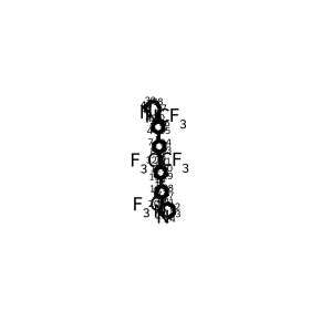 FC(F)(F)C1(c2ccc(-c3ccc(C(c4ccc(-c5ccc(C6(C(F)(F)F)C=CC=CN=N6)cc5)cc4)(C(F)(F)F)C(F)(F)F)cc3)cc2)C=CC=CN=N1